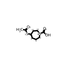 CC(=O)SC1CCCN(C(=O)O)CC1